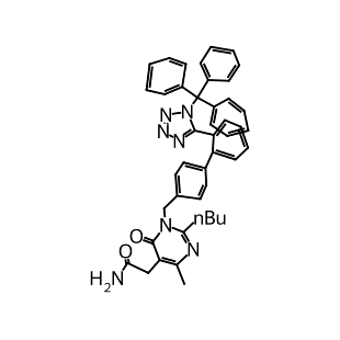 CCCCc1nc(C)c(CC(N)=O)c(=O)n1Cc1ccc(-c2ccccc2-c2nnnn2C(c2ccccc2)(c2ccccc2)c2ccccc2)cc1